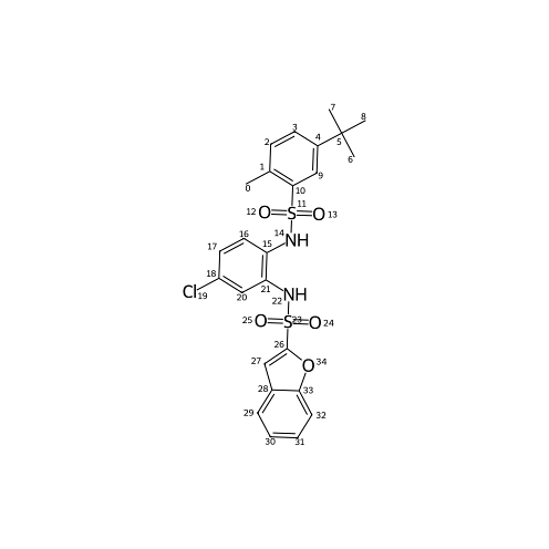 Cc1ccc(C(C)(C)C)cc1S(=O)(=O)Nc1ccc(Cl)cc1NS(=O)(=O)c1cc2ccccc2o1